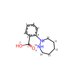 O=C(O)c1ccccc1N1CCCCCN1